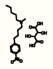 CCCCCN(C)CCCCc1ccc([N+](=O)[O-])cc1.O=C(O)C(O)C(O)C(=O)O